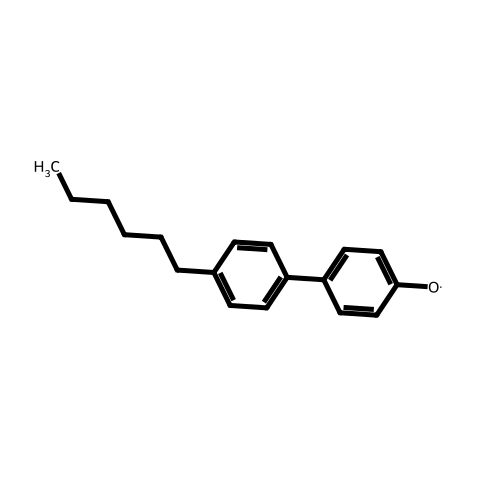 CCCCCCc1ccc(-c2ccc([O])cc2)cc1